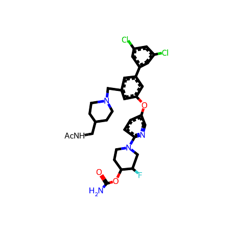 CC(=O)NCC1CCN(Cc2cc(Oc3ccc(N4CCC(OC(N)=O)C(F)C4)nc3)cc(-c3cc(Cl)cc(Cl)c3)c2)CC1